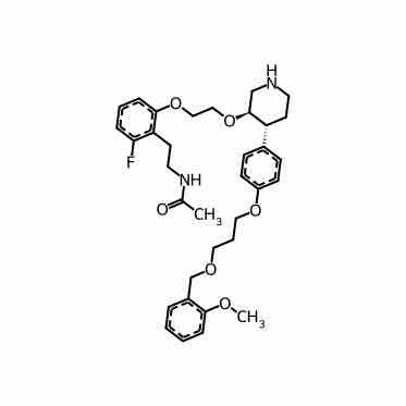 COc1ccccc1COCCCOc1ccc([C@H]2CCNC[C@@H]2OCCOc2cccc(F)c2CCNC(C)=O)cc1